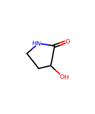 O=C1N[CH]CC1O